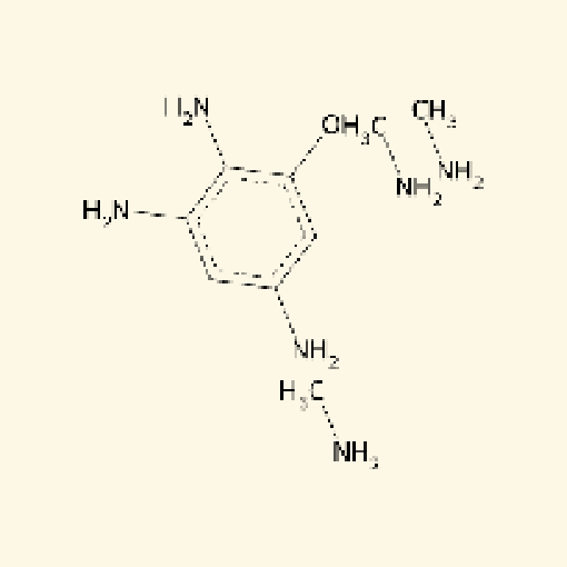 CN.CN.CN.Nc1cc(N)c(N)c(O)c1